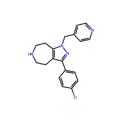 Clc1ccc(-c2nn(Cc3ccncc3)c3c2CCNCC3)cc1